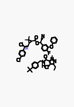 CC1(C)C(/C=C(\Cl)c2ccc(Cl)cc2)C1C(=O)OC(C#N)c1ccc(F)c(Oc2ccccc2)c1.CCc1nn(C)c(C(=O)NCc2ccc(C(C)(C)C)cc2)c1Cl